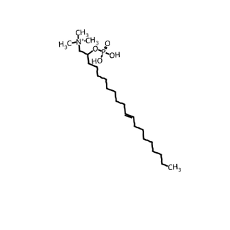 CCCCCCCCC=CCCCCCCCCC(C[N+](C)(C)C)OP(=O)(O)O